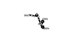 COCCOCCOc1cncc(OCCOCCOC(=O)N(Cc2ccc(OC)cc2)Cc2ccc(OC)cc2)c1